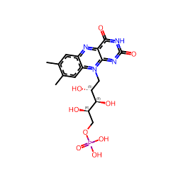 Cc1cc2nc3c(=O)[nH]c(=O)nc-3n(C[C@@H](O)[C@@H](O)[C@H](O)COP(=O)(O)O)c2cc1C